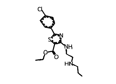 CCCNCCNc1nc(-c2ccc(Cl)cc2)sc1C(=O)OCC